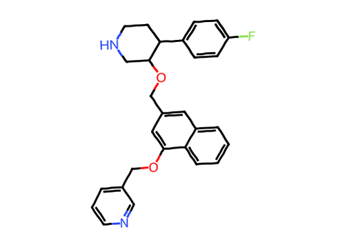 Fc1ccc(C2CCNCC2OCc2cc(OCc3cccnc3)c3ccccc3c2)cc1